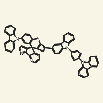 c1cnc2c(c1)C1(c3ccc(-c4ccc5c(c4)c4ccccc4n5-c4ccc(-n5c6ccccc6c6ccccc65)cc4)cc3Sc3ccc(-n4c5ccccc5c5ccccc54)cc31)c1cccnc1-2